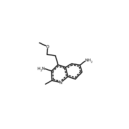 COCCc1c(N)c(C)nc2ccc(N)cc12